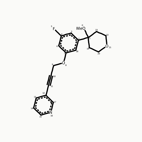 COC1(c2cc(F)cc(OCC#Cc3cccnc3)c2)CCOCC1